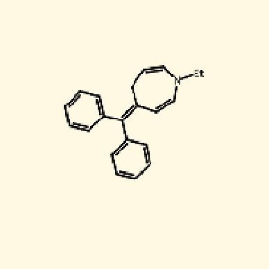 CCN1C=CCC(=C(c2ccccc2)c2ccccc2)C=C1